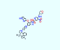 CC(C)c1ccccc1C1CCCN1C1CC2(C1)CN(c1ccc(C(=O)NS(=O)(=O)c3cc([N+](=O)[O-])c(NCC4CCOCC4)cn3)c(Oc3cnc4[nH]ccc4c3)c1)C2